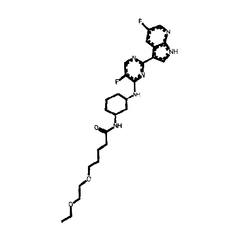 CCOCCOCCCCC(=O)N[C@H]1CCC[C@@H](Nc2nc(-c3c[nH]c4ncc(F)cc34)ncc2F)C1